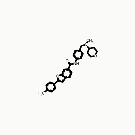 Cc1ccc(-c2cc3ccc(C(=O)Nc4ccc(CN(C)C5CCOCC5)cc4)cc3o2)cc1